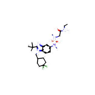 CCNC(=O)CN(C)S(=O)(=O)N(C)c1ccc2c(c1)nc(C(C)(C)C)n2CC1CCC(F)(F)CC1